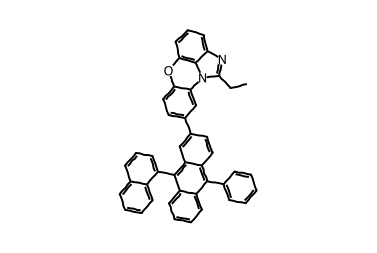 CCc1nc2cccc3c2n1-c1cc(-c2ccc4c(-c5ccccc5)c5ccccc5c(-c5cccc6ccccc56)c4c2)ccc1O3